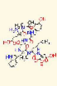 CCCC[C@@H](C(=O)N[C@@H](CC(=O)O)C(=O)O)N(C)C(=O)[C@H](Cc1c[nH]c2ccccc12)NC(=O)CNC(=O)[C@H](Cc1ccc(O)cc1)NC(=O)[C@H](C)N(C)C(=O)[C@H](N)CCC(=O)O